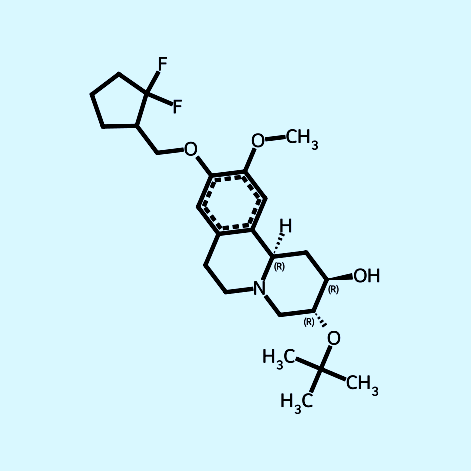 COc1cc2c(cc1OCC1CCCC1(F)F)CCN1C[C@@H](OC(C)(C)C)[C@H](O)C[C@H]21